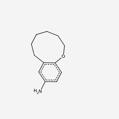 Nc1ccc2c(c1)CCCCCCO2